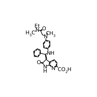 CCN(C)C(=O)CN(C)c1ccc(NC(=C2C(=O)Nc3nc(C(=O)O)ccc32)c2ccccc2)cc1